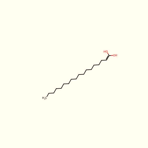 CCCCCCCCCCCCCCCCC=C(O)O